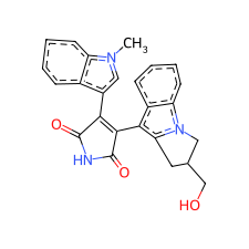 Cn1cc(C2=C(c3c4n(c5ccccc35)CC(CO)C4)C(=O)NC2=O)c2ccccc21